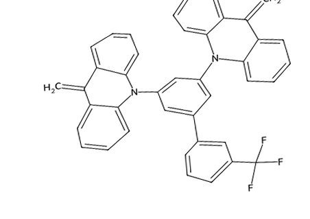 C=C1c2ccccc2N(c2cc(-c3cccc(C(F)(F)F)c3)cc(N3c4ccccc4C(=C)c4ccccc43)c2)c2ccccc21